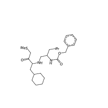 CSCC(=O)C(CC1CCCCC1)NCC(CC(C)C)NC(=O)OCc1ccccc1